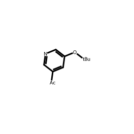 CC(=O)c1cncc(OC(C)(C)C)c1